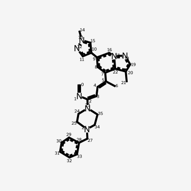 C=N/C(=C\C=C(/C)c1cc(-c2cnn(C)c2)cn2ncc(C)c12)N1CCN(Cc2ccccc2)CC1